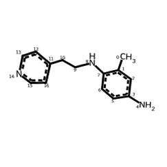 Cc1cc(N)ccc1NCCc1ccncc1